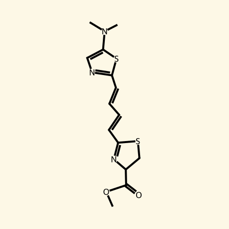 COC(=O)C1CSC(/C=C/C=C/c2ncc(N(C)C)s2)=N1